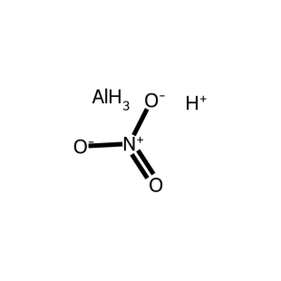 O=[N+]([O-])[O-].[AlH3].[H+]